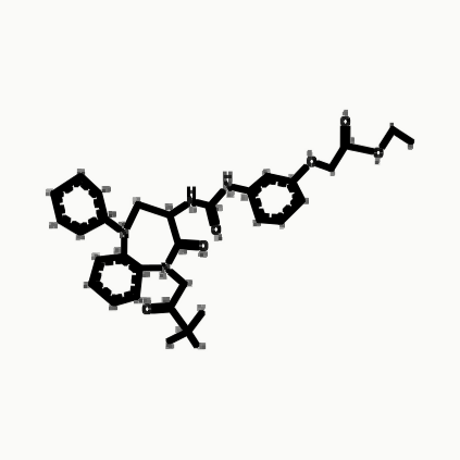 CCOC(=O)COc1cccc(NC(=O)NC2CN(c3ccccc3)c3ccccc3N(CC(=O)C(C)(C)C)C2=O)c1